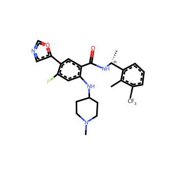 Cc1c([C@@H](C)NC(=O)c2cc(-c3cnco3)c(F)cc2NC2CCN(C)CC2)cccc1C(F)(F)F